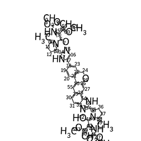 COC(=O)N[C@H](C(=O)N1[C@@H](C)CC[C@H]1c1ncc(-c2ccc3c(c2)COc2cc4c(ccc5nc([C@@H]6CC[C@H](C)N6C(O)[C@@H](NC(=O)OC)[C@@H](C)OC)[nH]c54)cc2-3)[nH]1)[C@@H](C)OC